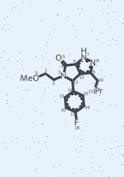 COCCN1C(=O)c2[nH]nc(CC(C)C)c2C1c1ccc(F)cc1